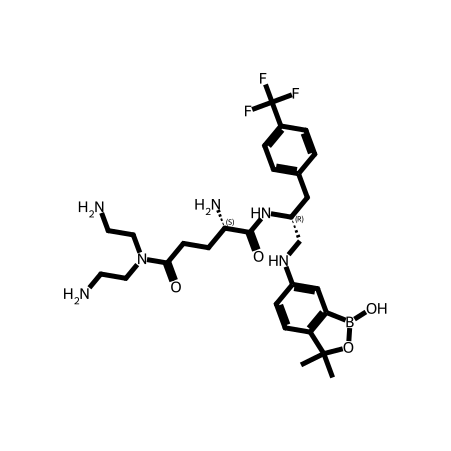 CC1(C)OB(O)c2cc(NC[C@@H](Cc3ccc(C(F)(F)F)cc3)NC(=O)[C@@H](N)CCC(=O)N(CCN)CCN)ccc21